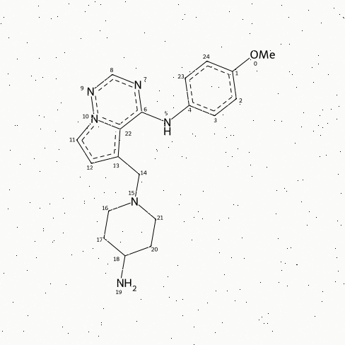 COc1ccc(Nc2ncnn3ccc(CN4CCC(N)CC4)c23)cc1